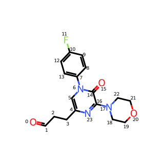 O=CCCc1cn(-c2ccc(F)cc2)c(=O)c(N2CCOCC2)n1